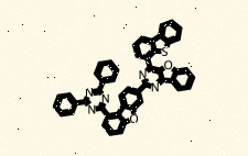 c1ccc(-c2nc(-c3ccccc3)nc(-c3cccc4oc5cc(-c6nc(-c7cccc8c7sc7ccccc78)c7oc8ccccc8c7n6)ccc5c34)n2)cc1